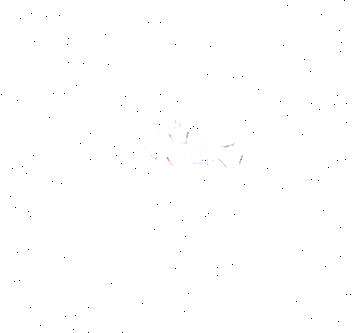 CCc1cccc(C)c1NS(=O)(=O)c1c(C(=O)N2CCCC2)c(C)n(C)c1C